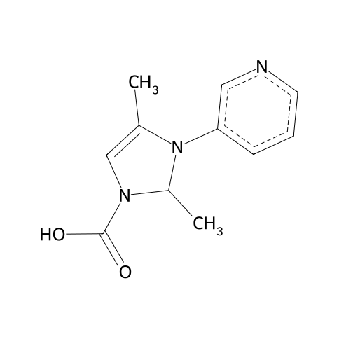 CC1=CN(C(=O)O)C(C)N1c1cccnc1